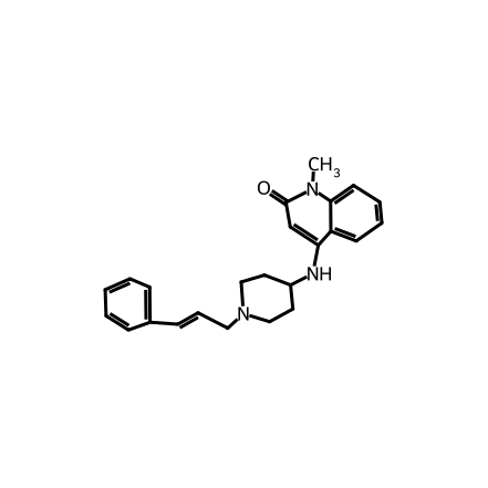 Cn1c(=O)cc(NC2CCN(C/C=C/c3ccccc3)CC2)c2ccccc21